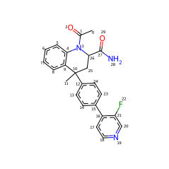 CC(=O)N1c2cc[c]cc2C(C)(c2ccc(-c3ccncc3F)cc2)CC1C(N)=O